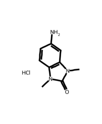 Cl.Cn1c(=O)n(C)c2cc(N)ccc21